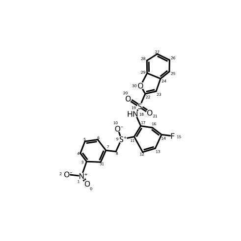 O=[N+]([O-])c1cccc(C[S+]([O-])c2ccc(F)cc2NS(=O)(=O)c2cc3ccccc3o2)c1